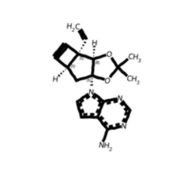 C=C[C@@]12C#C[C@@H]1C[C@]1(n3ccc4c(N)ncnc43)OC(C)(C)O[C@H]21